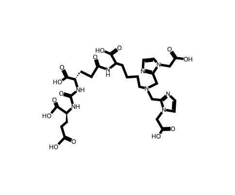 O=C(O)CC[C@H](NC(=O)N[C@@H](CCC(=O)NC(CCCCN(Cc1nccn1CC(=O)O)Cc1nccn1CC(=O)O)C(=O)O)C(=O)O)C(=O)O